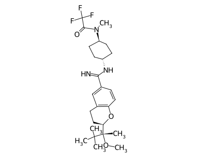 CO[C@@](C)([C@H]1CCc2cc(C(=N)N[C@H]3CC[C@H](N(C)C(=O)C(F)(F)F)CC3)ccc2O1)C(C)(C)C